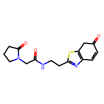 O=C1C=Cc2nc(CCNC(=O)CN3CCCC3=O)sc2C1